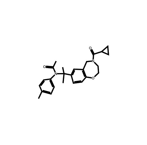 CC(=O)N(c1ccc(C)cc1)C(C)(C)c1ccc2c(c1)CN(C(=O)C1CC1)CCO2